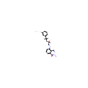 COc1cccc(C(C)(C)CC(O)(/C=N/c2cccc3c(=O)n(C)ncc23)C(F)(F)F)c1